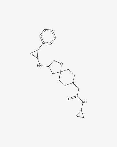 O=C(CN1CCC2(CC1)CC(NC1CC1c1ccccc1)CO2)NC1CC1